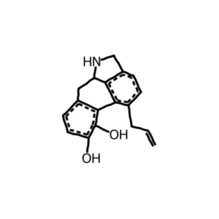 C=CCc1ccc2c3c1-c1c(ccc(O)c1O)CC3NC2